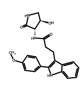 COc1ccc(-c2[nH]c3ccccc3c2CCC(=O)N[C@@H]2C(=O)NC[C@H]2O)cc1